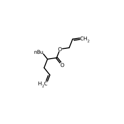 C=CCOC(=O)C(CC=C)CCCC